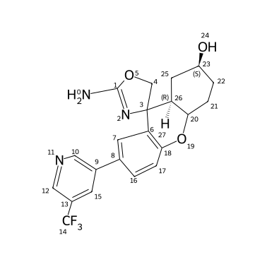 NC1=NC2(CO1)c1cc(-c3cncc(C(F)(F)F)c3)ccc1OC1CC[C@H](O)C[C@@H]12